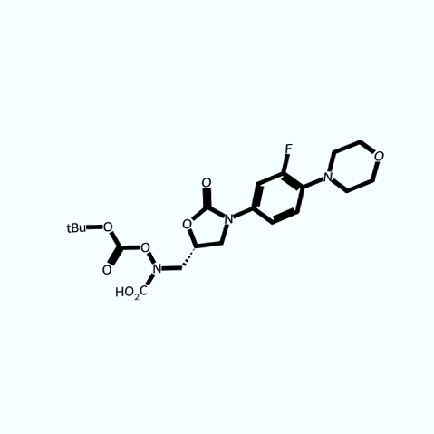 CC(C)(C)OC(=O)ON(C[C@H]1CN(c2ccc(N3CCOCC3)c(F)c2)C(=O)O1)C(=O)O